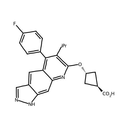 CC(C)c1c(O[C@H]2C[C@H](C(=O)O)C2)nc2cc3[nH]ncc3cc2c1-c1ccc(F)cc1